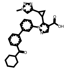 Cn1cc(C2CC2c2c(C(=O)O)cnn2-c2cccc(-c3cccc(C(=O)C4CCCCC4)c3)c2)nn1